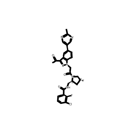 CC(=O)c1nn(CC(=O)N2C[C@H](F)C[C@H]2CNC(=O)c2cccc(Cl)c2F)c2ccc(-c3cnc(C)nc3)cc12